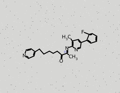 C/C(=N\c1ncc(-c2ccccc2F)cc1C)C(=O)CCCCCc1ccncc1